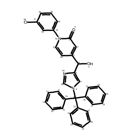 O=c1cc(C(O)c2cn(C(c3ccccc3)(c3ccccc3)c3ccccc3)cn2)ccn1-c1cccc(Cl)c1